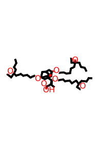 CCCCC1(CCCCCCOC(=C(C)C(=O)O)C23CC4CC(OCCCCCCC5(CCCC)CCO5)(CC(OCCCCCCC5(CCCC)CCO5)(C4)C2)C3)CCO1